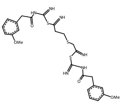 COc1cccc(CC(=O)NC(=N)SC(=N)CCSCC(=N)SC(=N)NC(=O)Cc2cccc(OC)c2)c1